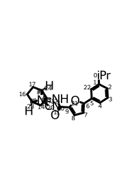 CC(C)c1cccc(-c2ccc(C(=O)N[C@@H]3C[C@@H]4CC[C@H]3N4C#N)o2)c1